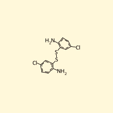 Nc1ccc(Cl)cc1SSc1cc(Cl)ccc1N